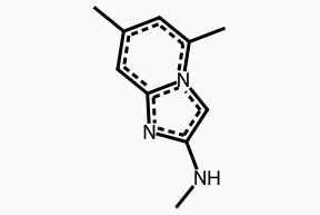 CNc1cn2c(C)cc(C)cc2n1